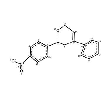 O=[N+]([O-])c1ccc(C2CC(c3ccccc3)=CCO2)cc1